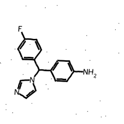 Nc1ccc(C(c2ccc(F)cc2)n2ccnc2)cc1